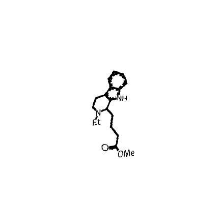 CCN1CCc2c([nH]c3ccccc23)C1CCCC(=O)OC